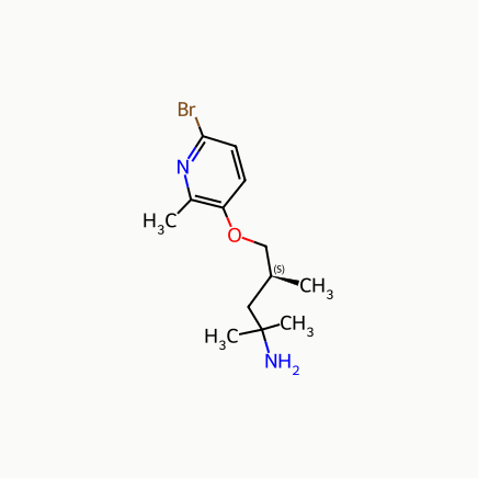 Cc1nc(Br)ccc1OC[C@@H](C)CC(C)(C)N